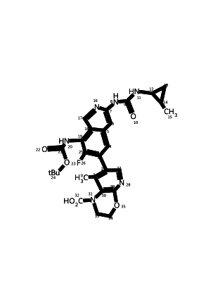 Cc1c(-c2cc3cc(NC(=O)NC4CC4C)ncc3c(NC(=O)OC(C)(C)C)c2F)cnc2c1N(C(=O)O)CCO2